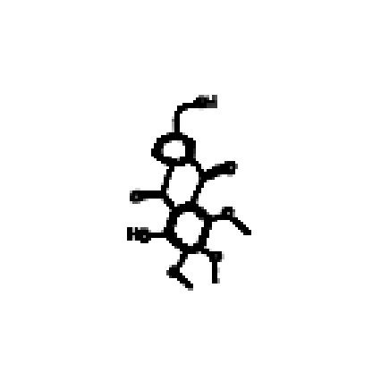 COc1c(O)c2c(c(OC)c1OC)C(=O)c1cc(CO)ccc1C2=O